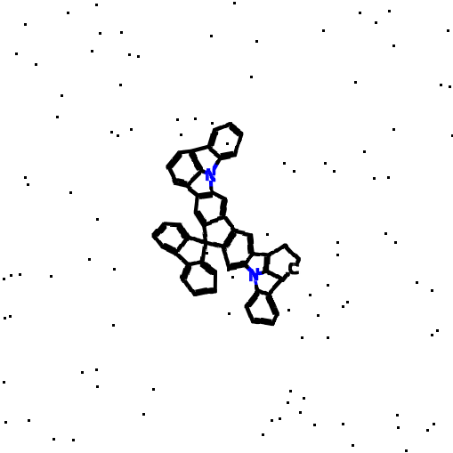 c1ccc2c(c1)-c1ccccc1C21c2cc3c4cccc5c6ccccc6n(c3cc2-c2cc3c6c7n(c3cc21)-c1ccccc1C7CCC6)c54